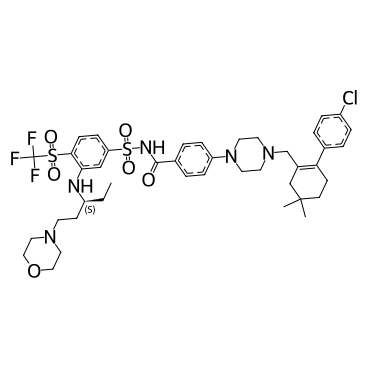 CC[C@@H](CCN1CCOCC1)Nc1cc(S(=O)(=O)NC(=O)c2ccc(N3CCN(CC4=C(c5ccc(Cl)cc5)CCC(C)(C)C4)CC3)cc2)ccc1S(=O)(=O)C(F)(F)F